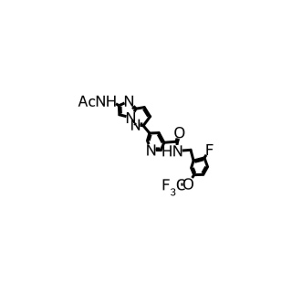 CC(=O)Nc1cn2nc(-c3cncc(C(=O)NCc4cc(OC(F)(F)F)ccc4F)c3)ccc2n1